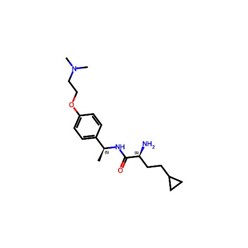 C[C@H](NC(=O)[C@@H](N)CCC1CC1)c1ccc(OCCN(C)C)cc1